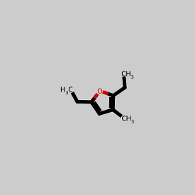 CCc1[c]c(C)c(CC)o1